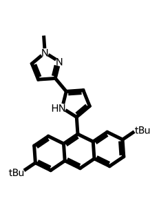 Cn1ccc(-c2ccc(-c3c4ccc(C(C)(C)C)cc4cc4ccc(C(C)(C)C)cc34)[nH]2)n1